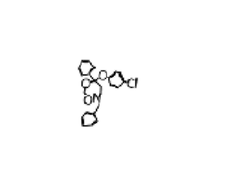 Clc1ccc(OC2(c3ccccc3)CCN(Cc3ccccc3)OCO2)cc1